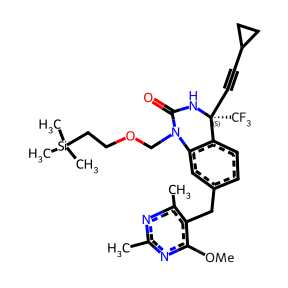 COc1nc(C)nc(C)c1Cc1ccc2c(c1)N(COCC[Si](C)(C)C)C(=O)N[C@]2(C#CC1CC1)C(F)(F)F